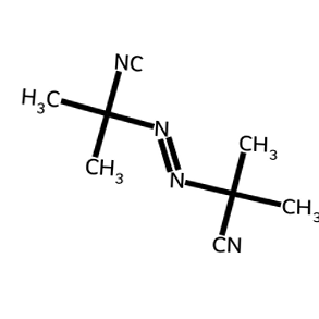 [C-]#[N+]C(C)(C)/N=N/C(C)(C)C#N